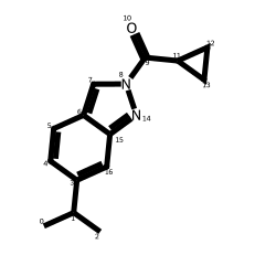 CC(C)c1ccc2cn(C(=O)C3CC3)nc2c1